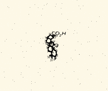 CC1CCC2(C)C(CCC3(C)C2C(=O)C=C2C4CC(C)(C(=O)O)CCC4(C)CCC23C)C1(C)C